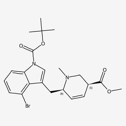 COC(=O)[C@H]1C=C[C@@H](Cc2cn(C(=O)OC(C)(C)C)c3cccc(Br)c23)N(C)C1